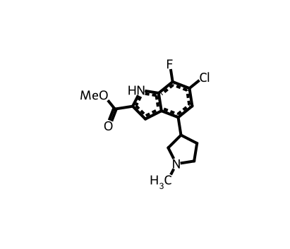 COC(=O)c1cc2c(C3CCN(C)C3)cc(Cl)c(F)c2[nH]1